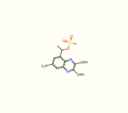 COc1nc2cc([N+](=O)[O-])cc(C(C)OS(C)(=O)=O)c2nc1OC